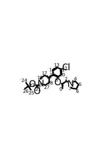 CC(CN1CCCC1)Oc1cc(Cl)ccc1C1CCN(C(=O)OC(C)(C)C)CC1